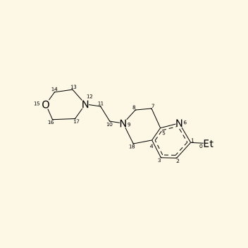 CCc1ccc2c(n1)CCN(CCN1CCOCC1)C2